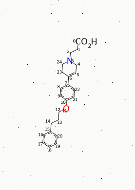 O=C(O)CCN1CC=C(c2ccc(OCCCc3ccccc3)cc2)CC1